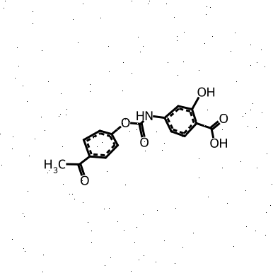 CC(=O)c1ccc(OC(=O)Nc2ccc(C(=O)O)c(O)c2)cc1